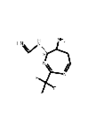 N=CN[C@H]1N=C(C(F)(F)F)N=CCC1N